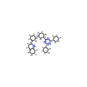 c1ccc(-c2nc(-c3ccccc3)nc(-c3cccc(-c4cccc(-c5ccc6ccccc6n5)c4)c3)n2)cc1